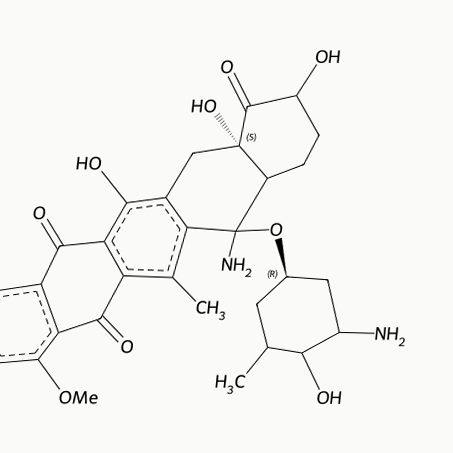 COc1cccc2c1C(=O)c1c(C)c3c(c(O)c1C2=O)C[C@@]1(O)C(=O)C(O)CCC1C3(N)O[C@@H]1CC(C)C(O)C(N)C1